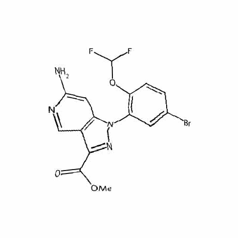 COC(=O)c1nn(-c2cc(Br)ccc2OC(F)F)c2cc(N)ncc12